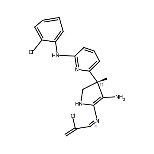 C=C(Cl)/C=N\C1=C(N)[C@@](C)(c2cccc(Nc3ccccc3Cl)n2)CN1